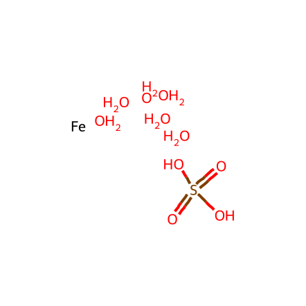 O.O.O.O.O.O.O=S(=O)(O)O.[Fe]